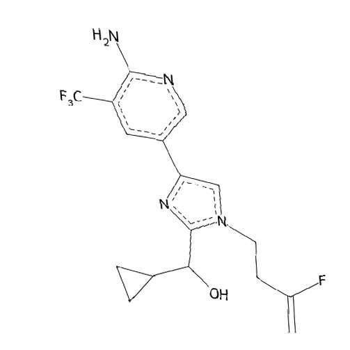 C=C(F)CCn1cc(-c2cnc(N)c(C(F)(F)F)c2)nc1C(O)C1CC1